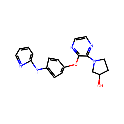 O[C@@H]1CCN(c2nccnc2Oc2ccc(Nc3ccccn3)cc2)C1